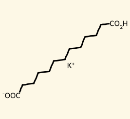 O=C([O-])CCCCCCCCCCCC(=O)O.[K+]